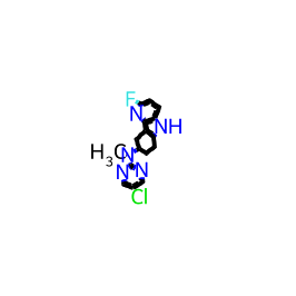 CN(c1ncc(Cl)cn1)C1CCc2[nH]c3ccc(F)nc3c2C1